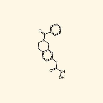 O=C(Cc1ccc2c(c1)CN(C(=O)c1ccccc1)CC2)NO